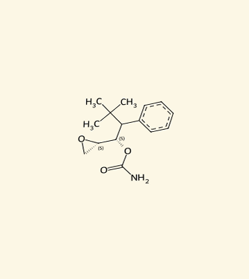 CC(C)(C)C(c1ccccc1)[C@H](OC(N)=O)[C@@H]1CO1